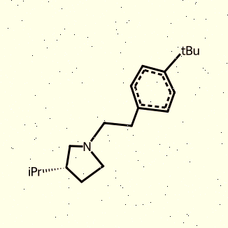 CC(C)[C@H]1CCN(CCc2ccc(C(C)(C)C)cc2)C1